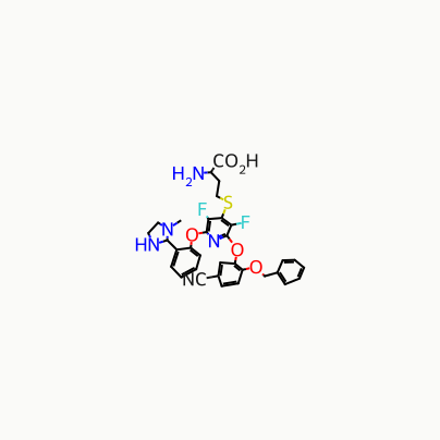 CN1CCNC1c1ccccc1Oc1nc(Oc2cc(C#N)ccc2OCc2ccccc2)c(F)c(SCCC(N)C(=O)O)c1F